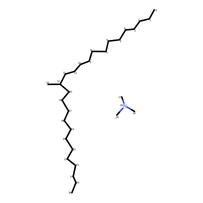 CCCCCCCCCCCCCC(C)CCCCCCCCCCCC.CN(C)C